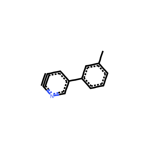 Cc1cccc(-c2cc#cnc2)c1